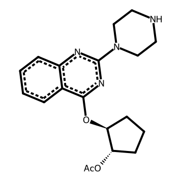 CC(=O)O[C@H]1CCC[C@@H]1Oc1nc(N2CCNCC2)nc2ccccc12